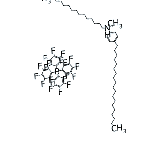 CCCCCCCCCCCCCCCCCCCc1ccc([NH+](C)CCCCCCCCCCCCCC)cc1.Fc1c(F)c(F)c([B-](c2c(F)c(F)c(F)c(F)c2F)(c2c(F)c(F)c(F)c(F)c2F)c2c(F)c(F)c(F)c(F)c2F)c(F)c1F